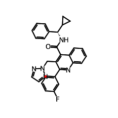 O=C(N[C@H](c1ccccc1)C1CC1)c1c(Cn2nccn2)c(-c2cccc(F)c2)nc2ccccc12